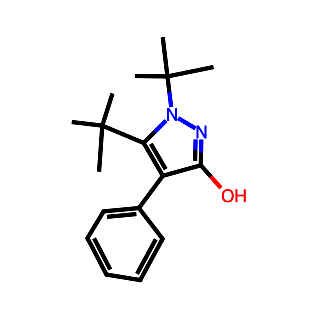 CC(C)(C)c1c(-c2ccccc2)c(O)nn1C(C)(C)C